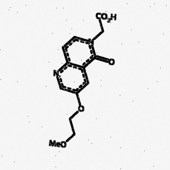 COCCOc1cnc2ccn(CC(=O)O)c(=O)c2c1